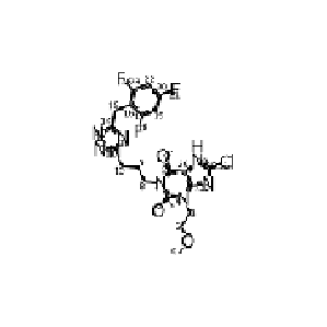 COCCn1c(=O)n(CCCn2nnc(Cc3c(F)cc(F)cc3F)n2)c(=O)c2[nH]c(Cl)nc21